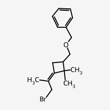 CC(CBr)=C1CC(COCc2ccccc2)C1(C)C